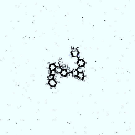 C/C=C\C(=C/C)c1cccc(-c2nc(-c3ccc4c(c3)C(C)(C)c3cccc5c6sc7ccccc7c6n-4c35)nc3ccccc23)c1